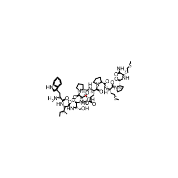 CC[C@H](C)[C@H](NC(=O)[C@@H](N)Cc1c[nH]c2ccccc12)C(=O)N[C@@H](CO)C(=O)N[C@H](C(=O)N1CCC[C@H]1C(=O)N[C@@H](CCC(=O)O)C(=O)N1CCC[C@H]1C(=O)N[C@@H](CCSC)C(=O)N1CCC[C@H]1C(=O)N[C@@H](CCSC)C(N)=O)[C@@H](C)O